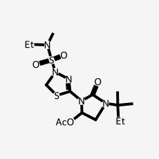 CCN(C)S(=O)(=O)N1CSC(N2C(=O)N(C(C)(C)CC)CC2OC(C)=O)=N1